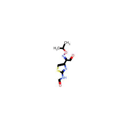 CC(C)ON=C([C]=O)c1csc(NC=O)n1